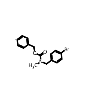 CN(Cc1ccc(Br)cc1)C(=O)OCc1cc[c]cc1